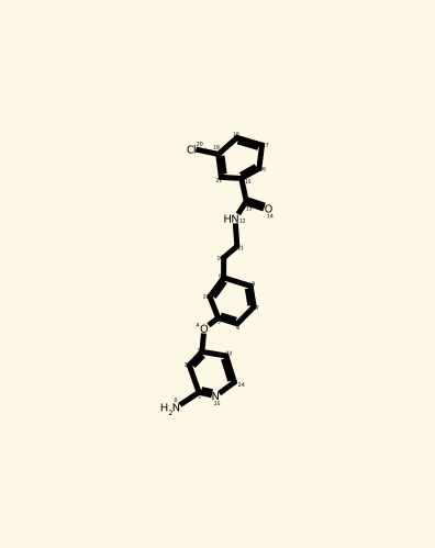 Nc1cc(Oc2cccc(CCNC(=O)c3cccc(Cl)c3)c2)ccn1